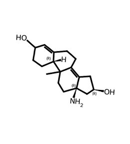 CC12CC[C@@]3(N)C[C@H](O)CC3=C1CCC1=CC(O)CC[C@H]12